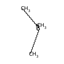 CCCCCCCCCCCCCCCCCCCc1ccc(N(C)CCCCCCCCCCCCCCCCCC)cc1